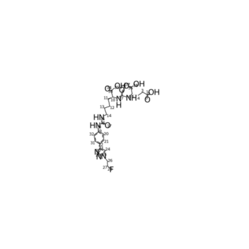 O=C(O)CC[C@H](NC(=O)N[C@@H](CCCCNC(=O)Nc1ccc(-c2cn(CCF)nn2)cc1)C(=O)O)C(=O)O